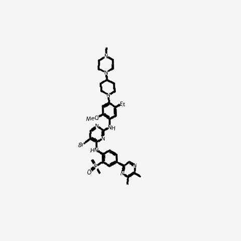 CCc1cc(Nc2ncc(Br)c(Nc3ccc(-c4cnc(C)c(C)n4)cc3P(C)(C)=O)n2)c(OC)cc1N1CCC(N2CCN(C)CC2)CC1